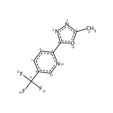 Cc1nnc(-c2ccc(C(F)(F)F)cn2)o1